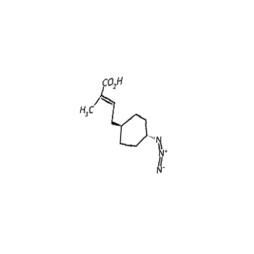 CC(=CC[C@H]1CC[C@H](N=[N+]=[N-])CC1)C(=O)O